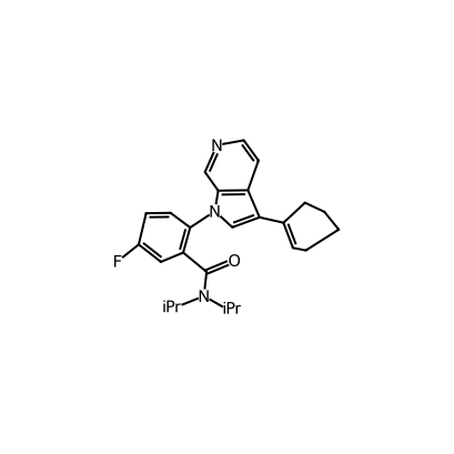 CC(C)N(C(=O)c1cc(F)ccc1-n1cc(C2=CCCCC2)c2ccncc21)C(C)C